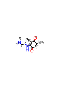 CC(C)C1=CC(=O)C(NCCN(C)C)=C(C(C)C)C1=O